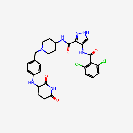 O=C1CCC(Nc2ccc(CN3CCC(NC(=O)c4n[nH]cc4NC(=O)c4c(Cl)cccc4Cl)CC3)cc2)C(=O)N1